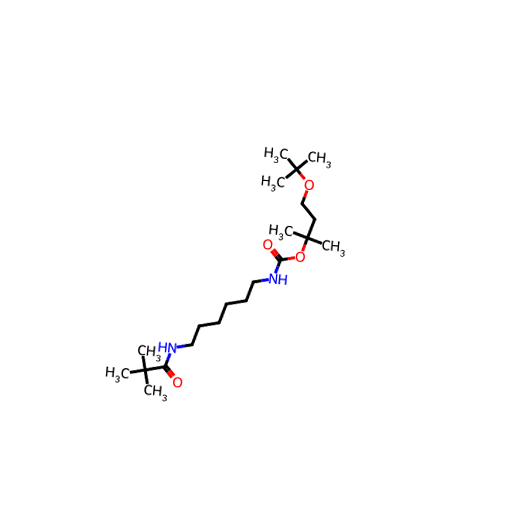 CC(C)(C)OCCC(C)(C)OC(=O)NCCCCCCNC(=O)C(C)(C)C